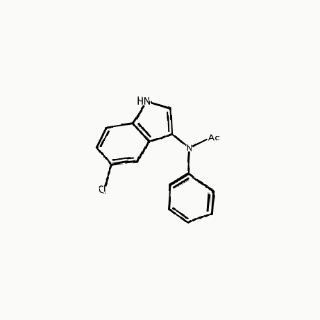 CC(=O)N(c1ccccc1)c1c[nH]c2ccc(Cl)cc12